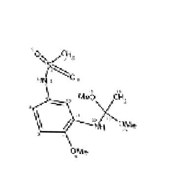 COc1ccc(NS(C)(=O)=O)cc1NC(C)(OC)OC